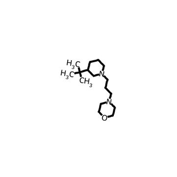 CC(C)(C)C1CCCN(CCCN2CCOCC2)C1